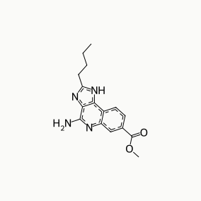 CCCCc1nc2c(N)nc3cc(C(=O)OC)ccc3c2[nH]1